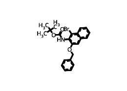 CC(C)(C)OC(=O)Nc1c(OCc2ccccc2)cc2ccccc2c1Br